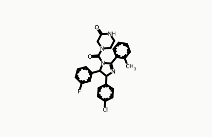 Cc1ccccc1C1=NC(c2ccc(Cl)cc2)C(c2cccc(F)c2)N1C(=O)N1CCNC(=O)C1